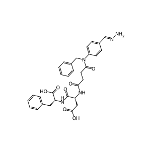 NN=Cc1ccc(N(Cc2ccccc2)C(=O)CCC(=O)N[C@@H](CC(=O)O)C(=O)N[C@@H](Cc2ccccc2)C(=O)O)cc1